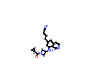 N#C/C=C/Cc1cc(NC2CN(C(=O)C3CC3)C2)c2cnccc2c1